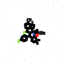 CC1(C)CC=C2C(c3ccc(F)cc3)=C(C(F)c3ccc(C(F)(F)F)cc3)C(C3CCCC3)=NC2(O[Si](C)(C)C(C)(C)C)C1